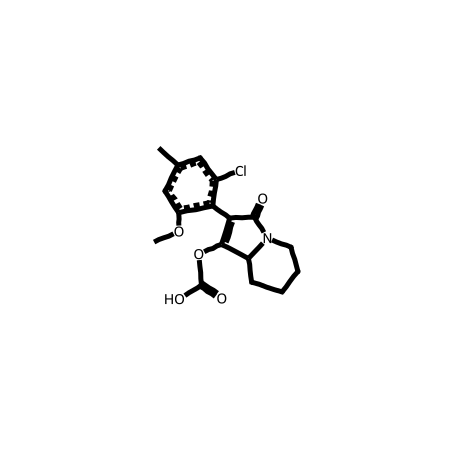 COc1cc(C)cc(Cl)c1C1=C(OC(=O)O)C2CCCCN2C1=O